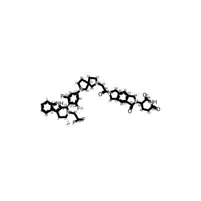 C[C@@H]1Cc2c([nH]c3ccccc23)[C@@H](c2c(F)cc(N3CCC4(CCN(CC(=O)N5Cc6cc7c(cc6C5)C(=O)N(C5CCC(=O)NC5=O)C7)C4)C3)cc2F)N1CC(F)F